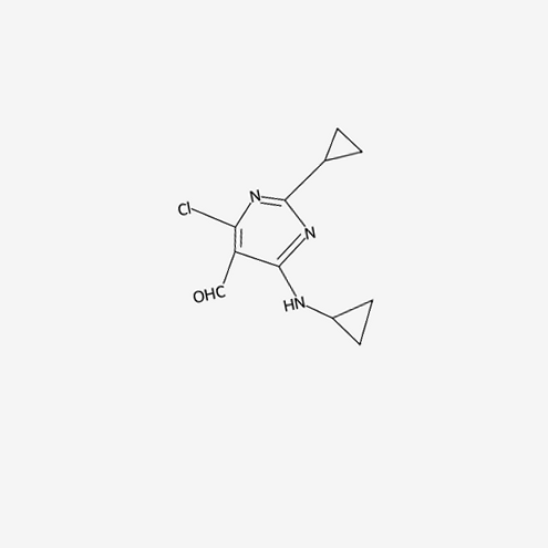 O=Cc1c(Cl)nc(C2CC2)nc1NC1CC1